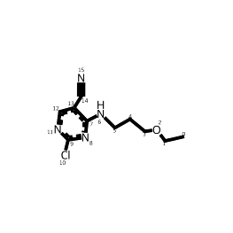 CCOCCCNc1nc(Cl)ncc1C#N